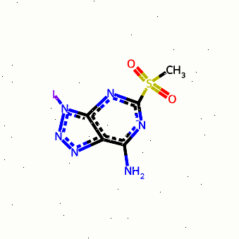 CS(=O)(=O)c1nc(N)c2nnn(I)c2n1